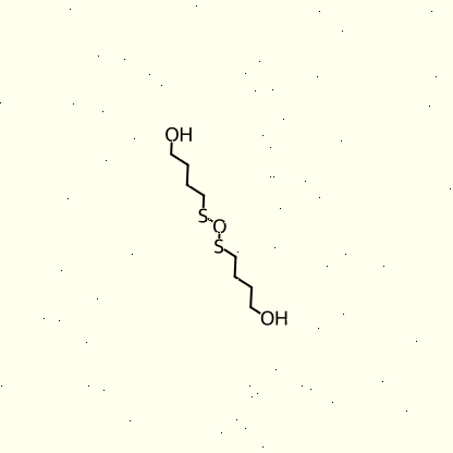 OCCCCSOSCCCCO